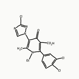 CCn1c(C)c(-n2cnc(Cl)n2)c(=O)c(C(=O)O)c1-c1ccc(Cl)c(Cl)c1